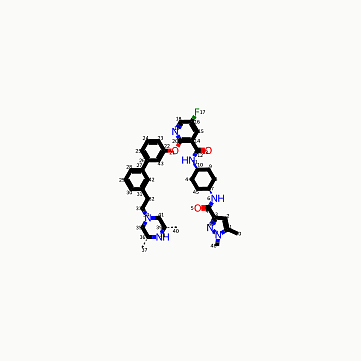 Cc1cc(C(=O)N[C@H]2CC[C@H](NC(=O)c3cc(F)cnc3Oc3cccc(-c4cccc(CCN5C[C@@H](C)N[C@@H](C)C5)c4)c3)CC2)nn1C